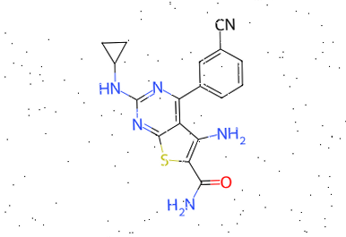 N#Cc1cccc(-c2nc(NC3CC3)nc3sc(C(N)=O)c(N)c23)c1